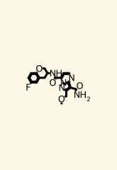 COCc1nn2c(C(=O)NC3COc4ccc(F)cc4C3)ccnc2c1C(N)=O